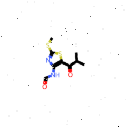 CSc1nc(NC=O)c(C(=O)C(C)C)s1